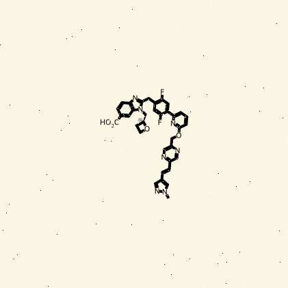 Cn1cc(C=Cc2cnc(COc3cccc(-c4cc(F)c(Cc5nc6ccc(C(=O)O)cc6n5C[C@@H]5CCO5)cc4F)n3)cn2)cn1